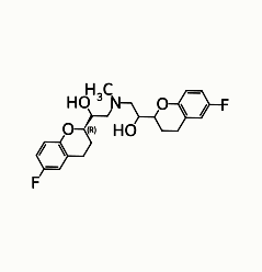 CN(CC(O)C1CCc2cc(F)ccc2O1)CC(O)[C@H]1CCc2cc(F)ccc2O1